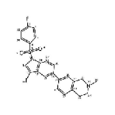 Cc1ccc(S(=O)(=O)n2cc(I)c3cc(-c4ccc5c(c4)CN(C)CC5)cnc32)cc1